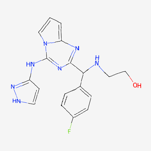 OCCNC(c1ccc(F)cc1)c1nc(Nc2cc[nH]n2)n2cccc2n1